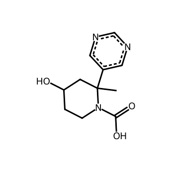 CC1(c2cncnc2)CC(O)CCN1C(=O)O